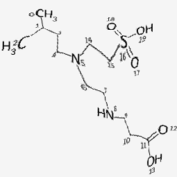 CC(C)CCN(CCNCCC(=O)O)CCS(=O)(=O)O